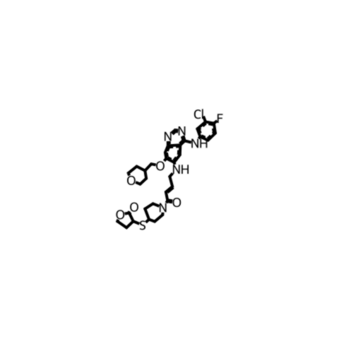 O=C1OCCC1SC1CCN(C(=O)C=CCNc2cc3c(Nc4ccc(F)c(Cl)c4)ncnc3cc2OCC2CCOCC2)CC1